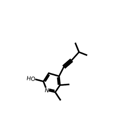 Cc1nc(O)cc(C#CC(C)C)c1C